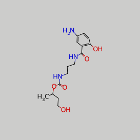 CC(CCO)OC(=O)NCCCNC(=O)c1cc(N)ccc1O